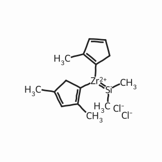 CC1=CC(C)=[C]([Zr+2]([C]2=C(C)C=CC2)=[Si](C)C)C1.[Cl-].[Cl-]